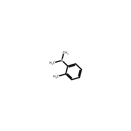 CB(C)c1ccccc1C